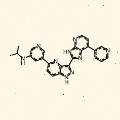 CC(C)Nc1cncc(-c2ccc3[nH]nc(-c4nc5c(-c6cccnc6)ccnc5[nH]4)c3n2)c1